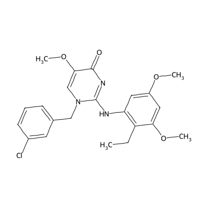 CCc1c(Nc2nc(=O)c(OC)cn2Cc2cccc(Cl)c2)cc(OC)cc1OC